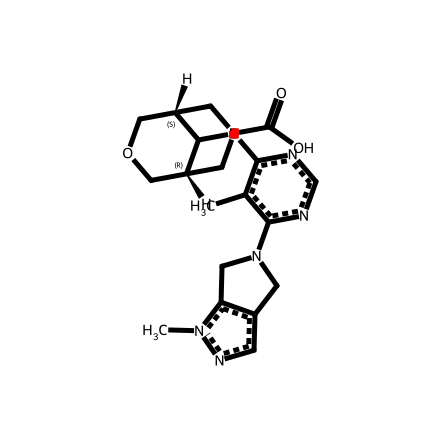 Cc1c(OC2[C@@H]3COC[C@H]2CN(C(=O)O)C3)ncnc1N1Cc2cnn(C)c2C1